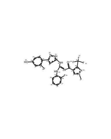 Cn1cc(C(=O)/N=C(\Nc2cc(-c3ccc(O)cc3F)n[nH]2)Nc2ccccc2F)c(C(F)(F)F)n1